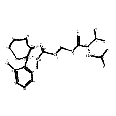 CC(C)N[C@H](C(=O)OCOC(=O)N(C)[C@]1(c2ccccc2Cl)CCCCC1=O)C(C)C